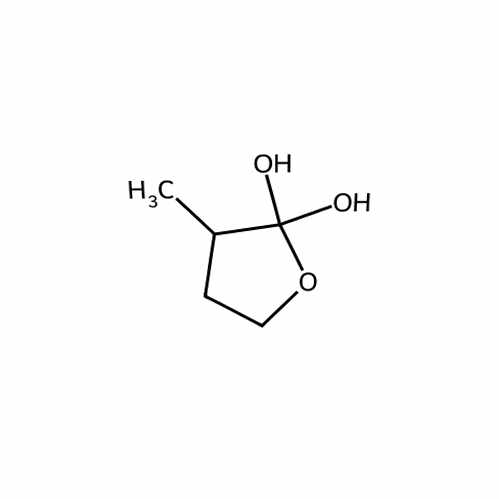 CC1CCOC1(O)O